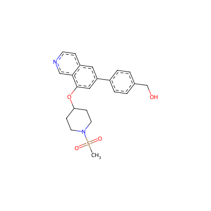 CS(=O)(=O)N1CCC(Oc2cc(-c3ccc(CO)cc3)cc3ccncc23)CC1